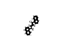 O=C1/C(=C2\Sc3ccc4ccccc4c3C2=O)Sc2ccc3ccccc3c21